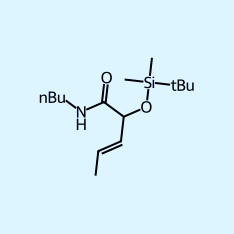 CC=CC(O[Si](C)(C)C(C)(C)C)C(=O)NCCCC